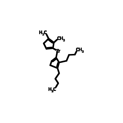 CCCCC1=C(CCCC)[C]([Zr][C]2=CCC(C)=C2C)=CC1